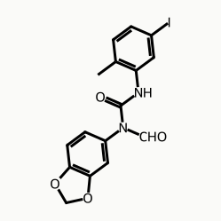 Cc1ccc(I)cc1NC(=O)N(C=O)c1ccc2c(c1)OCO2